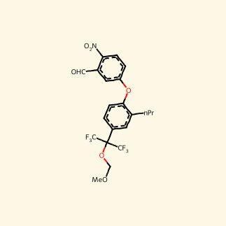 CCCc1cc(C(OCOC)(C(F)(F)F)C(F)(F)F)ccc1Oc1ccc([N+](=O)[O-])c(C=O)c1